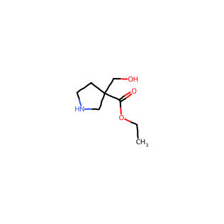 CCOC(=O)C1(CO)CCNC1